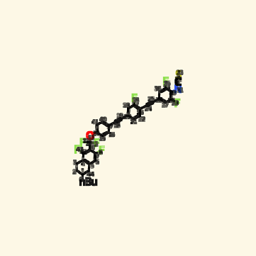 CCCCC1CCc2c(cc(F)c(C(F)(F)Oc3ccc(C#Cc4ccc(C#Cc5cc(F)c(N=C=S)c(F)c5)c(F)c4)cc3)c2F)C1